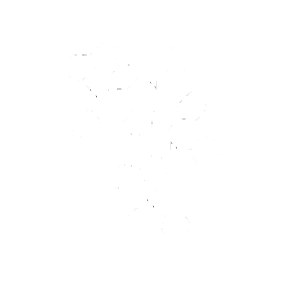 c1ccc(N(c2cc3ccc4cccc5c4c3c(c2)n5-c2ccccc2)c2c3ccccc3c(N(c3ccccc3)c3cc4ccc5cccc6c5c4c(c3)n6-c3ccccc3)c3ccccc23)cc1